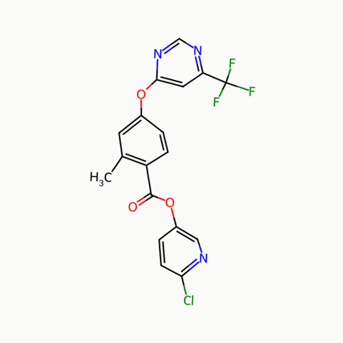 Cc1cc(Oc2cc(C(F)(F)F)ncn2)ccc1C(=O)Oc1ccc(Cl)nc1